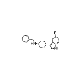 Fc1ccc2[nH]cc([C@H]3CC[C@H](NCc4ccccc4)CC3)c2c1